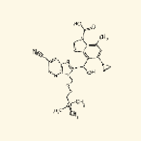 Cc1cc(C2CC2)c(C(O)c2nc3cc(C#N)cnc3n2COCC[Si](C)(C)C)c2ccn(C(=O)O)c12